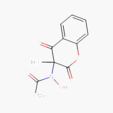 COC(=O)N(O)C1(C)C(=O)Oc2ccccc2C1=O